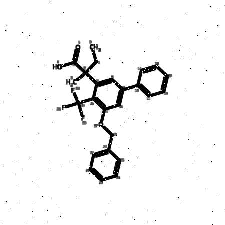 CCC(C)(C(=O)O)c1cc(-c2ccccc2)cc(OCc2ccccc2)c1C(F)(F)F